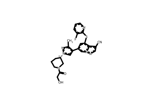 Cc1nn([C@H]2CCCN(C(=O)CO)C2)cc1-c1cc(Sc2ncccc2F)c2c(C#N)cnn2c1